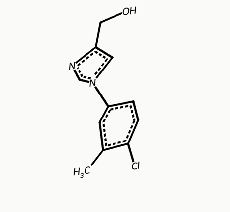 Cc1cc(-n2cnc(CO)c2)ccc1Cl